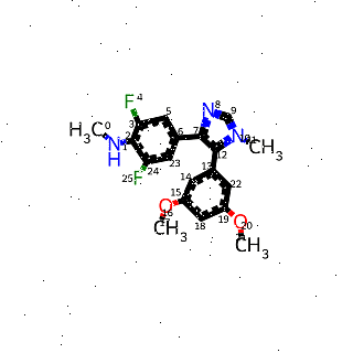 CNc1c(F)cc(-c2ncn(C)c2-c2cc(OC)cc(OC)c2)cc1F